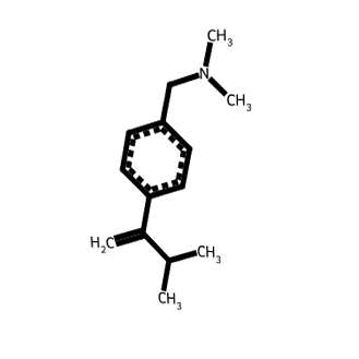 C=C(c1ccc(CN(C)C)cc1)C(C)C